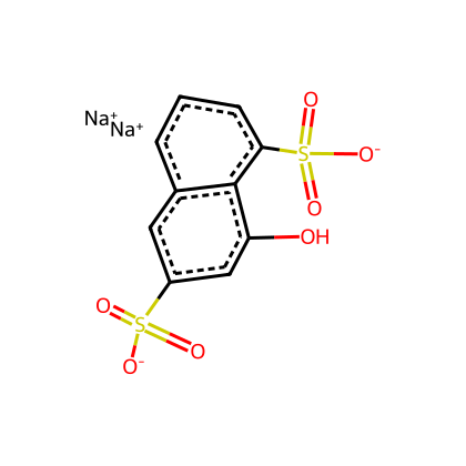 O=S(=O)([O-])c1cc(O)c2c(S(=O)(=O)[O-])cccc2c1.[Na+].[Na+]